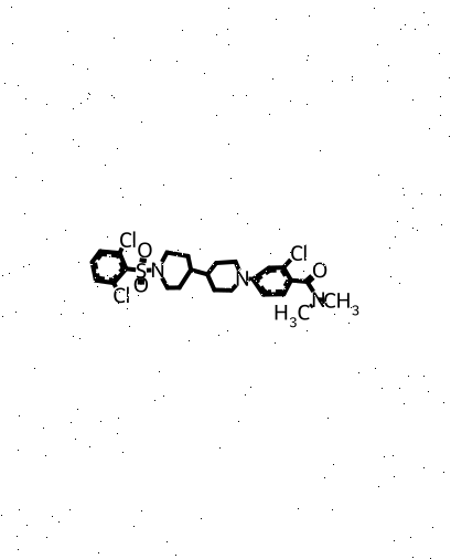 CN(C)C(=O)c1ccc(N2CCC(C3CCN(S(=O)(=O)c4c(Cl)cccc4Cl)CC3)CC2)cc1Cl